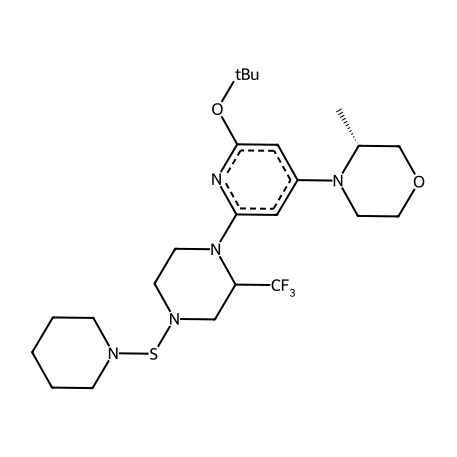 C[C@@H]1COCCN1c1cc(OC(C)(C)C)nc(N2CCN(SN3CCCCC3)CC2C(F)(F)F)c1